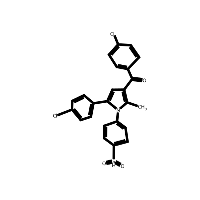 Cc1c(C(=O)c2ccc(Cl)cc2)cc(-c2ccc(Cl)cc2)n1-c1ccc([SH](=O)=O)cc1